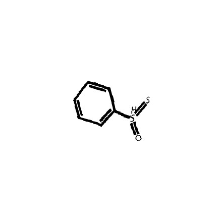 O=[SH](=S)c1ccccc1